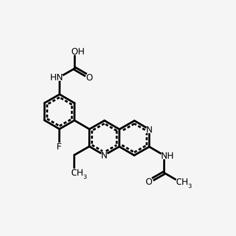 CCc1nc2cc(NC(C)=O)ncc2cc1-c1cc(NC(=O)O)ccc1F